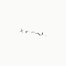 COC(=O)/C=C/CCCNC(=O)OC(C)(C)C